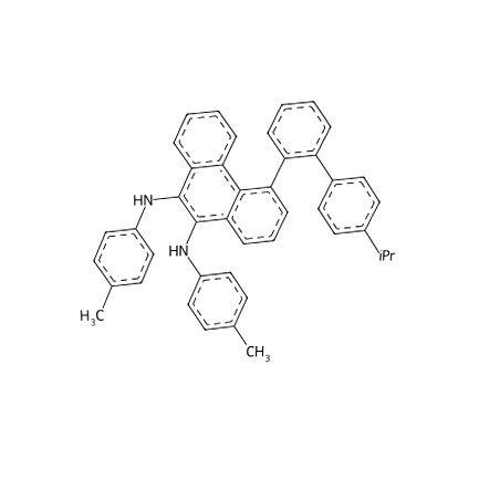 Cc1ccc(Nc2c(Nc3ccc(C)cc3)c3cccc(-c4ccccc4-c4ccc(C(C)C)cc4)c3c3ccccc23)cc1